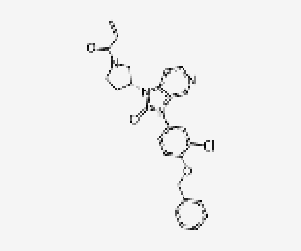 C=CC(=O)N1CC[C@@H](n2c(=O)n(-c3ccc(OCc4ccccc4)c(Cl)c3)c3cnccc32)C1